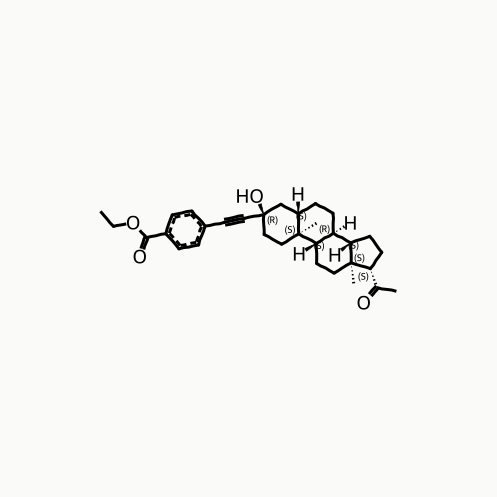 CCOC(=O)c1ccc(C#C[C@@]2(O)CC[C@@]3(C)[C@@H](CC[C@@H]4[C@@H]3CC[C@]3(C)[C@@H](C(C)=O)CC[C@@H]43)C2)cc1